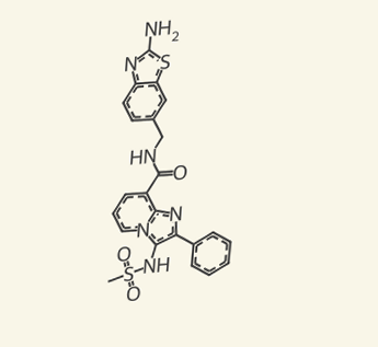 CS(=O)(=O)Nc1c(-c2ccccc2)nc2c(C(=O)NCc3ccc4nc(N)sc4c3)cccn12